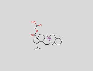 CC(C)C1CCC2(C(=O)OCC(=O)O)CCC3C(CCC4C5(C)CCCC(C)C5CC[PH]34C)C12